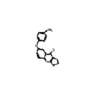 Cc1ccc(Oc2ccc3nc4c(c(Cl)c3c2)CCC4)cc1